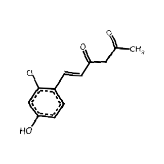 CC(=O)CC(=O)/C=C/c1ccc(O)cc1Cl